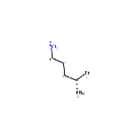 CCCC[C@@H](CC)CCCN